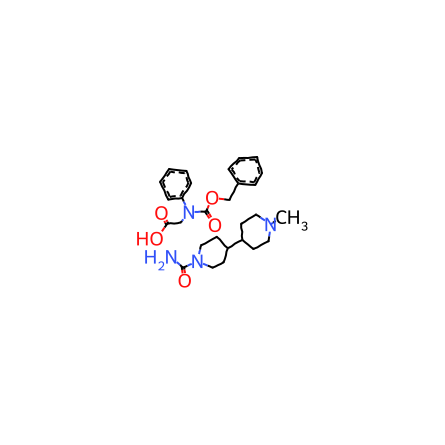 CN1CCC(C2CCN(C(N)=O)CC2)CC1.O=C(O)CN(C(=O)OCc1ccccc1)c1ccccc1